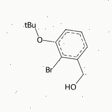 CC(C)(C)Oc1cccc([CH]O)c1Br